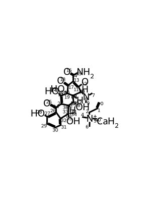 C=CC[N+](C)(C)C.CN(C)[C@@H]1C(O)=C(C(N)=O)C(=O)[C@@]2(O)C(O)=C3C(=O)c4c(O)cccc4[C@@](C)(O)[C@H]3[C@H](O)[C@@H]12.[CaH2]